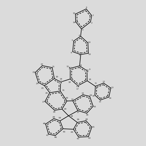 c1ccc(-c2ccc(-c3nc(-c4ccccc4)nc(-n4c5ccccc5c5ccc6c(c54)-c4ccccc4C64c5ccccc5-c5ccccc54)n3)cc2)cc1